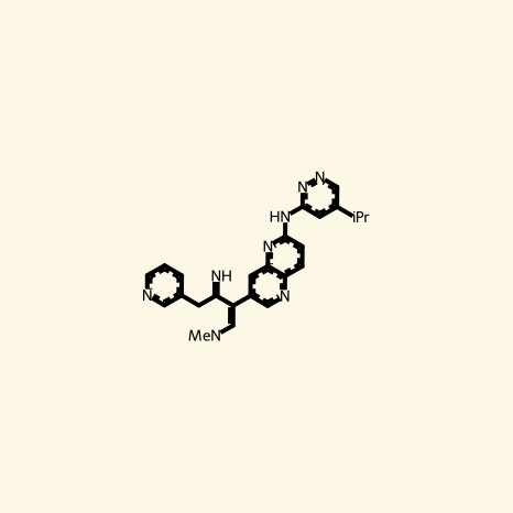 CN/C=C(\C(=N)Cc1cccnc1)c1cnc2ccc(Nc3cc(C(C)C)cnn3)nc2c1